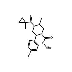 CC1CN(C(=O)OC(C)(C)C)C(c2ccc(F)cc2)CN1C(=O)C1(C)CC1